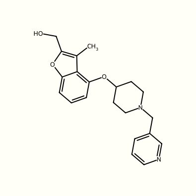 Cc1c(CO)oc2cccc(OC3CCN(Cc4cccnc4)CC3)c12